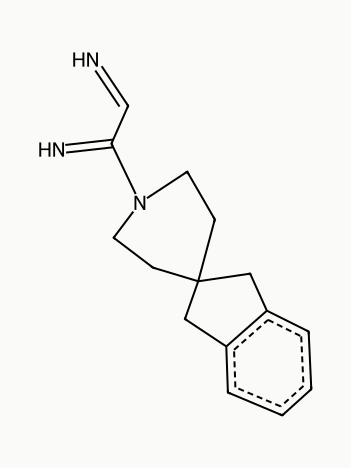 N=CC(=N)N1CCC2(CC1)Cc1ccccc1C2